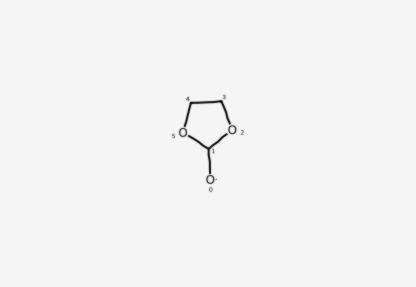 [O]C1OCCO1